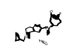 CN(c1ccc(F)c(Cl)c1)c1ccc2c(c1)CN(CC1CC1)CC2.Cl